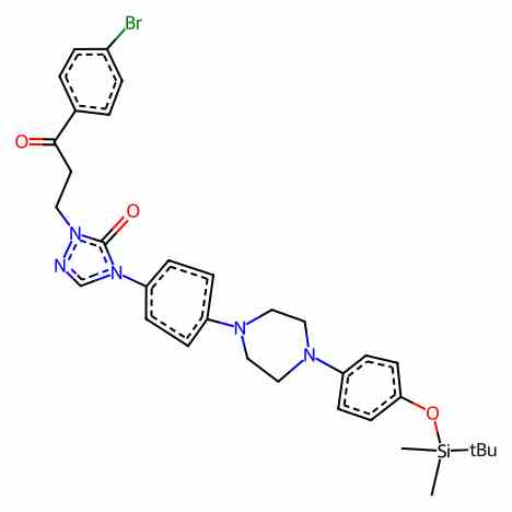 CC(C)(C)[Si](C)(C)Oc1ccc(N2CCN(c3ccc(-n4cnn(CCC(=O)c5ccc(Br)cc5)c4=O)cc3)CC2)cc1